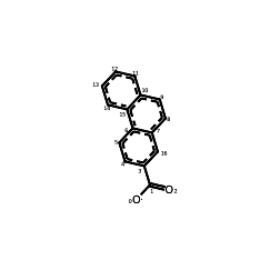 [O]C(=O)c1ccc2c(ccc3ccccc32)c1